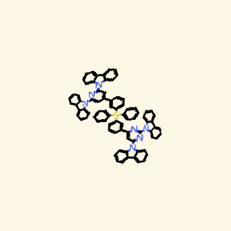 c1ccc(S(c2ccccc2)(c2cccc(-c3cc(-n4c5ccccc5c5ccccc54)nc(-n4c5ccccc5c5ccccc54)c3)c2)c2cccc(-c3cc(-n4c5ccccc5c5ccccc54)nc(-n4c5ccccc5c5ccccc54)n3)c2)cc1